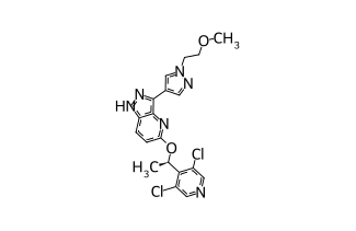 COCCn1cc(-c2n[nH]c3ccc(O[C@H](C)c4c(Cl)cncc4Cl)nc23)cn1